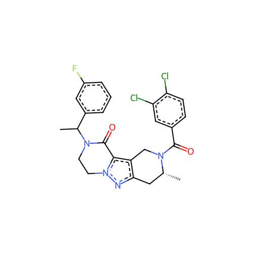 CC(c1cccc(F)c1)N1CCn2nc3c(c2C1=O)CN(C(=O)c1ccc(Cl)c(Cl)c1)[C@H](C)C3